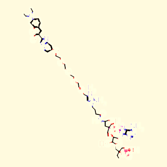 CCN(CC)c1ccc2cc(-c3cn4ccc(OCCOCCOCCOCCOC/C(N)=C/N(N)CCCC(=O)NC(CO)CC(CC)(CC)P(=O)(O)OC5C(O)[C@H](CC(CC)(CC)OP(=O)(O)O)O[C@@H]5n5cnc6c(N)ncnc65)cc4n3)c(=O)oc2c1